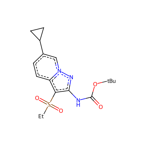 CCS(=O)(=O)c1c(NC(=O)OC(C)(C)C)nn2cc(C3CC3)ccc12